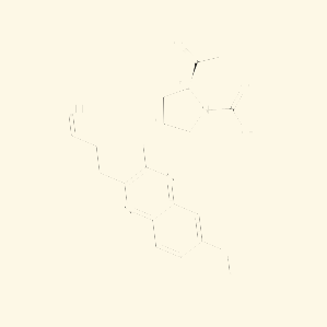 C=CCCc1nc2ccc(OC)cc2nc1O[C@@H]1C[C@@H](C(=O)O)N(C(=O)O)C1